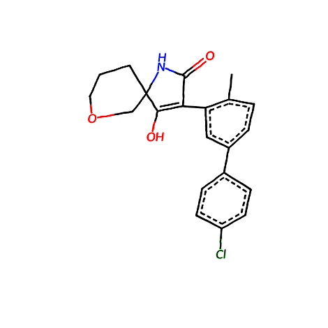 Cc1ccc(-c2ccc(Cl)cc2)cc1C1=C(O)C2(CCCOC2)NC1=O